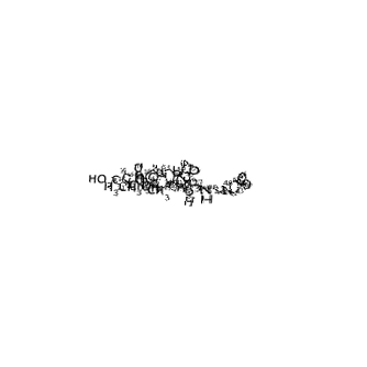 CC(C)C1=C2[C@H]3CC[C@@H]4[C@@]5(C)CC[C@H](OC(=O)[C@H]6C[C@@H](C(=O)O)C6(C)C)C(C)(C)[C@@H]5CC[C@@]4(C)[C@]3(C)CC[C@@]2([C@@H](O)CNCCN2CCS(=O)(=O)CC2)CC1=O